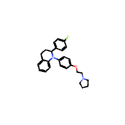 Fc1ccc(C2CCc3ccccc3N2c2ccc(OCCN3CCCC3)cc2)cc1